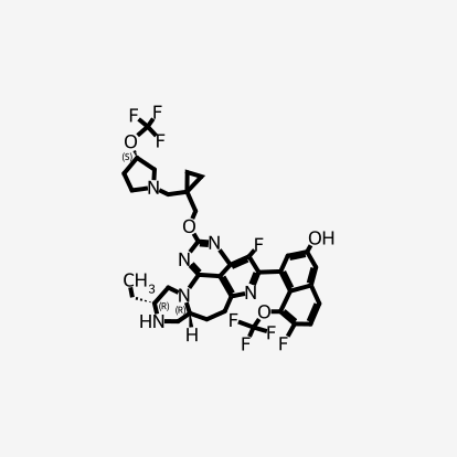 CC[C@@H]1CN2c3nc(OCC4(CN5CC[C@H](OC(F)(F)F)C5)CC4)nc4c(F)c(-c5cc(O)cc6ccc(F)c(OC(F)(F)F)c56)nc(c34)CC[C@@H]2CN1